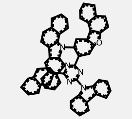 c1ccc2cc(-c3nc(-c4cc5oc6ccc7ccccc7c6c5cc4-n4c5cc6ccccc6cc5c5ccc6ccccc6c54)nc(-n4c5ccccc5c5ccccc54)n3)ccc2c1